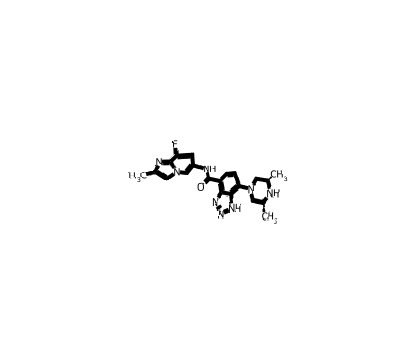 Cc1cn2cc(NC(=O)c3ccc(N4C[C@H](C)N[C@@H](C)C4)c4[nH]nnc34)cc(F)c2n1